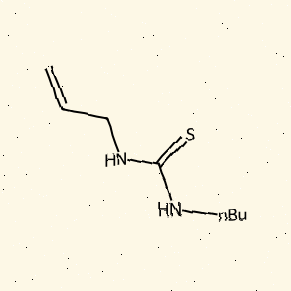 C=CCNC(=S)NCCCC